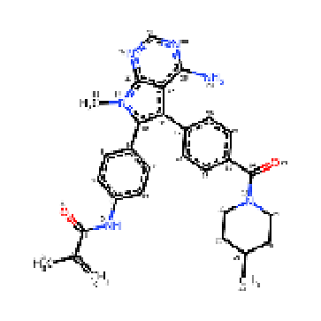 C=C(C)C(=O)Nc1ccc(-c2c(-c3ccc(C(=O)N4CCC(C)CC4)cc3)c3c(N)ncnc3n2C)cc1